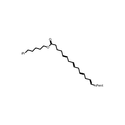 CCCCCC=CCC=CCC=CCC=CCCCC(=O)OCCCCCC(C)C